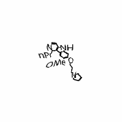 CCCc1nccc2[nH]c3cc(OCCCN4CCCC4)c(OC)cc3c12